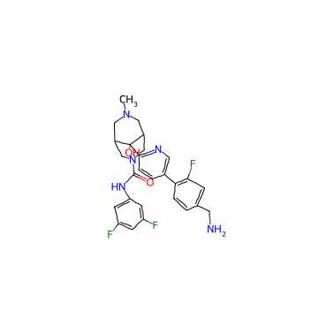 CN1CC2CN(C(=O)Nc3cc(F)cc(F)c3)CC(C1)C2(O)c1ccc(-c2ccc(CN)cc2F)cn1